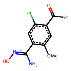 CCC(=O)c1cc(OC)c(/C(N)=N/O)cc1Cl